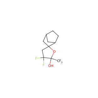 OC1(C(F)(F)F)OC2(CC3CCC2C3)CC1(F)F